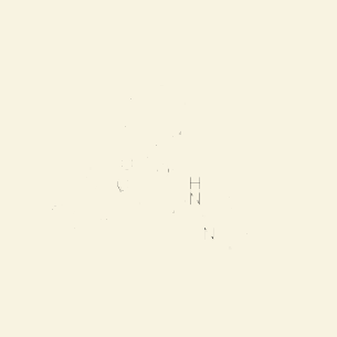 O=C(OC(CNC1=NCc2ccccc21)COc1ccccc1)c1ccccc1